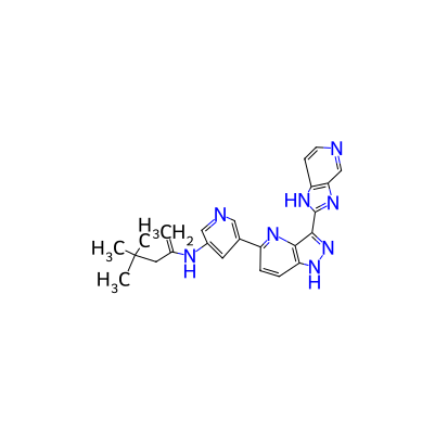 C=C(CC(C)(C)C)Nc1cncc(-c2ccc3[nH]nc(-c4nc5cnccc5[nH]4)c3n2)c1